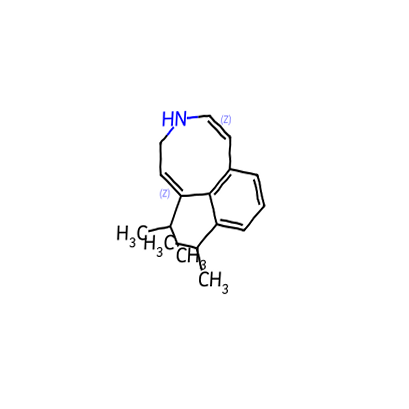 CC(C)/C1=C/CN/C=C\c2cccc(C(C)C)c21